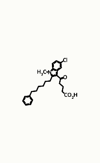 Cn1c(CCCCCCc2ccccc2)c(C(=O)CCCC(=O)O)c2cc(Cl)ccc21